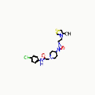 N#CC1CSCN1CCn1on1C1CCN(CC(=O)Nc2ccc(Cl)cc2)CC1